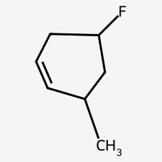 CC1C=CCC(F)C1